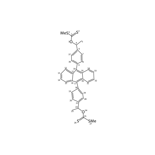 CSC(=S)OC(C)c1ccc(-c2c3ccccc3c(-c3ccc(C(C)OC(=S)SC)cc3)c3ccccc23)cc1